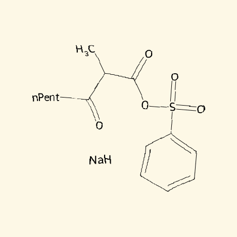 CCCCCC(=O)C(C)C(=O)OS(=O)(=O)c1ccccc1.[NaH]